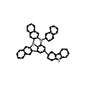 c1ccc2cc(N3c4cc5ccccc5cc4B4c5cc6ccccc6cc5-c5cc(-c6ccc7sc8ccccc8c7c6)cc3c54)ccc2c1